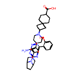 Nc1nnc(-c2ccccc2O)cc1N1CC2CCC(C1)N2c1ncc(C2CCN(C3CC4(CCC(C(=O)O)CC4)C3)CC2)cn1